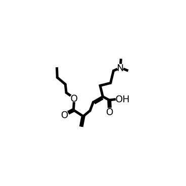 C=C(CC=C(CCCN(C)C)C(=O)O)C(=O)OCCCC